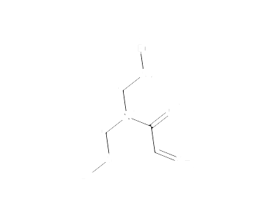 C=CC(=O)N(CSCC)CSCC